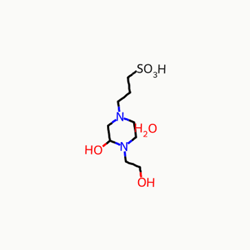 O.O=S(=O)(O)CCCN1CCN(CCO)C(O)C1